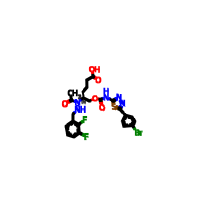 CC(=O)N(NCc1cccc(F)c1F)[C@@H](CCCC(=O)O)COC(=O)Nc1nnc(-c2ccc(Br)cc2)s1